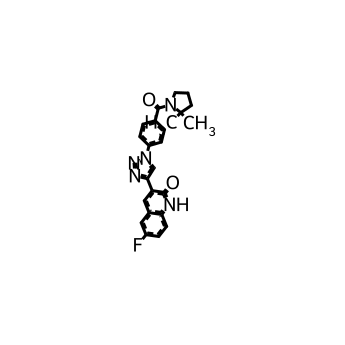 CC1(C)CCCN1C(=O)c1ccc(-n2cc(-c3cc4cc(F)ccc4[nH]c3=O)nn2)cc1